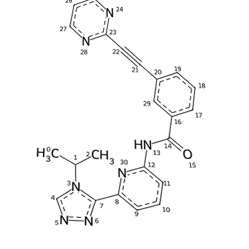 CC(C)n1cnnc1-c1cccc(NC(=O)c2cccc(C#Cc3ncccn3)c2)n1